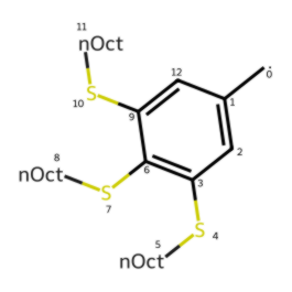 [CH2]c1cc(SCCCCCCCC)c(SCCCCCCCC)c(SCCCCCCCC)c1